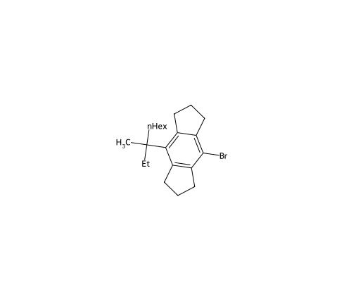 CCCCCCC(C)(CC)c1c2c(c(Br)c3c1CCC3)CCC2